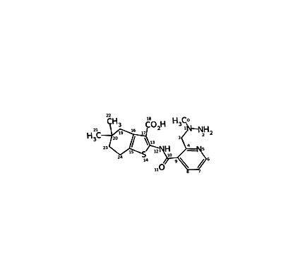 CN(N)Cc1ncccc1C(=O)Nc1sc2c(c1C(=O)O)CC(C)(C)CC2